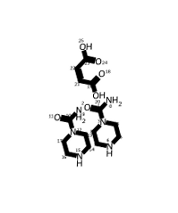 NC(=O)N1CCNCC1.NC(=O)N1CCNCC1.O=C(O)/C=C\C(=O)O